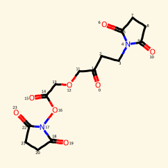 O=C(CCN1C(=O)CCC1=O)COCC(=O)ON1C(=O)CCC1=O